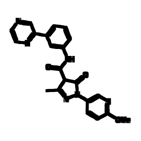 COc1ccc(N2N=C(C)C(C(=O)Nc3cccc(-c4cnccn4)c3)C2=O)cn1